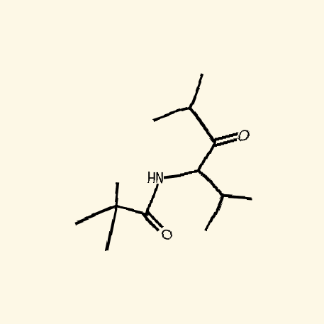 CC(C)C(=O)C(NC(=O)C(C)(C)C)C(C)C